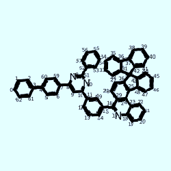 c1ccc(-c2ccc(-c3cc(-c4cccc(-c5nc6ccccc6c6c7c(ccc56)C5(c6ccccc6-c6ccccc65)c5ccccc5-7)c4)nc(-c4ccccc4)n3)cc2)cc1